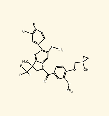 COc1cc(C(=O)NCC(C)(c2ccc(OC)c(-c3ccc(F)c(Cl)c3)n2)C(F)(F)F)ccc1OCC1(O)CC1